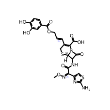 CO/N=C(\C(=O)NC1C(=O)N2C(C(=O)O)=C(/C=C/COC(=O)c3ccc(O)c(O)c3)CS[C@@H]12)c1csc(N)n1